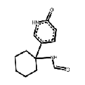 O=CNC1(c2ccc(=O)[nH]c2)CCCCC1